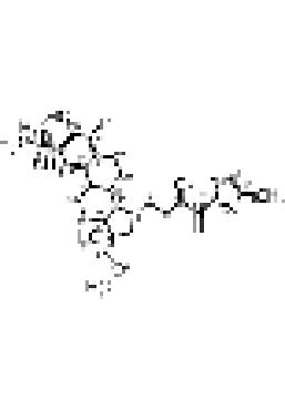 CON=C1C[C@@H](CCC(=O)Nc2ncc(C)s2)C2C3CCc4c(cc(C(C)(C)C)c(O)c4I)C3CC[C@]12C